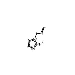 C=CCn1ccnc1.I